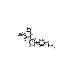 CC(C)(C)OC(=O)N(CC1CCC1)[C@@H]1CCCN(c2ccc(CN)nn2)C1